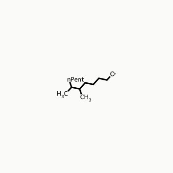 CCCCCC(C)C(C)CCCC[O]